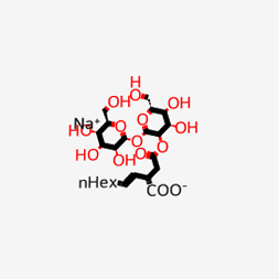 CCCCCC/C=C/C(CC(=O)O[C@H]1[C@@H](O[C@H]2O[C@H](CO)[C@@H](O)[C@H](O)[C@H]2O)O[C@H](CO)[C@@H](O)[C@@H]1O)C(=O)[O-].[Na+]